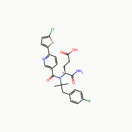 CC(C)(Cc1ccc(F)cc1)N(C(=O)c1ccc(-c2ccc(Cl)s2)nc1)[C@@H](CCC(=O)O)C(N)=O